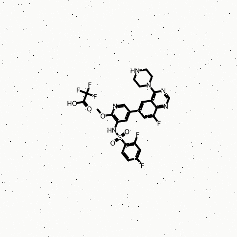 COc1ncc(-c2cc(F)c3ncnc(N4CCNCC4)c3c2)cc1NS(=O)(=O)c1ccc(F)cc1F.O=C(O)C(F)(F)F